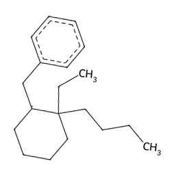 CCCCC1(CC)CCCC[C]1Cc1ccccc1